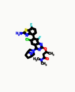 CC(CC(=O)N(C)C)Oc1nc(N2CC3CCC(C2)N3)c2cc(Cl)c(-c3ccc(F)c4sc(N)nc34)c(F)c2n1